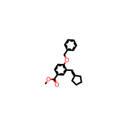 COC(=O)c1ccc(OCc2ccccc2)c(C=C2CCCC2)c1